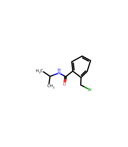 CC(C)NC(=O)c1ccccc1CBr